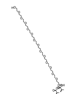 C=C(C)C(=O)O.C=C(C)C(=O)O.OCCOCCOCCOCCOCCOCCOCCOCCOCCOCCOCCOCCOCCOCCO